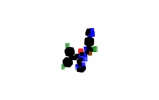 O=C(Nc1nc(-c2ccc(-n3ccnn3)cc2)c(Cl)s1)N(CCc1ncccn1)CCC(c1ccc(F)cc1)c1ccc(F)cc1